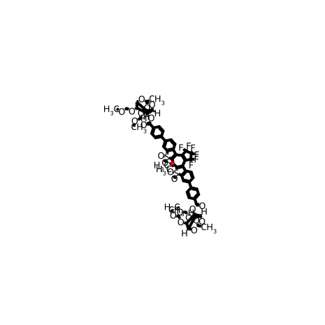 CCC1=C(C2=C(C3=C(CC)S(=O)(=O)c4cc(-c5ccc(C(=O)O[C@H]6C7OC8(C)OC(C7OCOC)[C@@H](OCOC)[C@@H]6O8)cc5)ccc43)C(F)(F)C(F)(F)C2(F)F)c2ccc(-c3ccc(C(=O)OC4C5OC6(C)O[C@@H](C5OCOC)[C@H](OCOC)[C@H]4O6)cc3)cc2S1(=O)=O